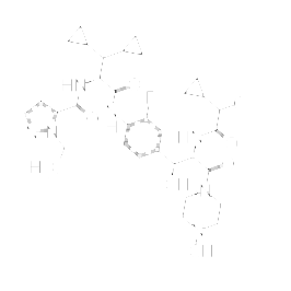 CCn1nccc1C(=O)N[C@H](C(=O)Nc1ccc([C@H](C)[C@@H](NC(=O)C(C)C2CC2)C(=O)N2CCN(C)CC2)cc1F)C(C1CC1)C1CC1